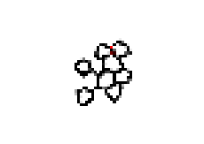 c1ccc(C2=C(c3ccccc3)C(c3ccccc3)c3cccc4ccc(-c5ccccc5)c2c34)cc1